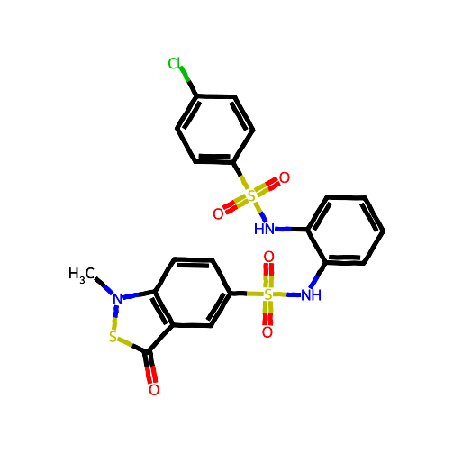 Cn1sc(=O)c2cc(S(=O)(=O)Nc3ccccc3NS(=O)(=O)c3ccc(Cl)cc3)ccc21